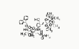 COC(=O)[C@H]1O[C@@H](CCc2cc(NC(=O)[C@H](CCCNC(N)=O)NC(=O)[C@@H](NC(=O)OCC3c4ccccc4-c4ccccc43)C(C)C)ccc2CO)[C@H](OC(C)=O)[C@@H](OC(C)=O)[C@@H]1OC(C)=O